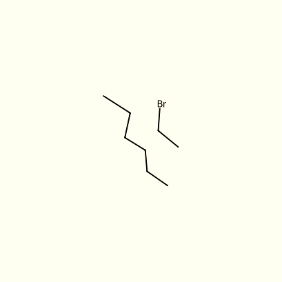 CCBr.CCCCCC